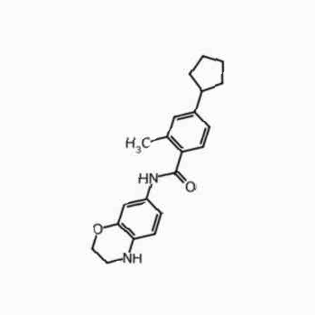 Cc1cc(C2CCCC2)ccc1C(=O)Nc1ccc2c(c1)OCCN2